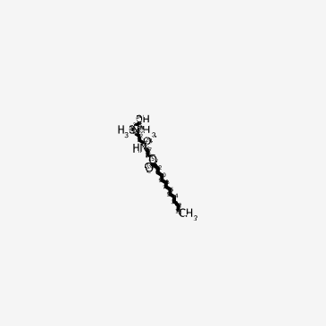 CCCCCCCCCCCCCC(=O)OCCNC(=O)CCC[N+](C)(C)CCO